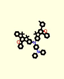 Cc1cccc(-c2cc3c(c4c2oc2ccccc24)-c2ccc(N(c4ccc(N(c5ccccc5)c5ccccc5)cc4)c4ccc5c(c4)C(C)(C)c4c6c(c7oc8ccccc8c7c4-5)-c4ccccc4C6(C)C)cc2C3(C)C)c1